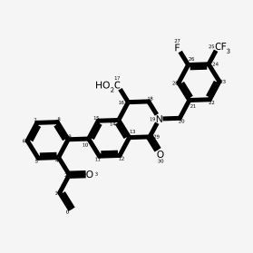 C=CC(=O)c1ccccc1-c1ccc2c(c1)C(C(=O)O)CN(Cc1ccc(C(F)(F)F)c(F)c1)C2=O